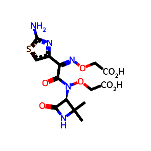 CC1(C)NC(=O)[C@H]1N(OCC(=O)O)C(=O)/C(=N\OCC(=O)O)c1csc(N)n1